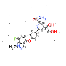 Cn1ncc2c(Oc3ccc(-c4cc(C(O)CO)cc(C(N)=O)n4)cc3)ccc(F)c21